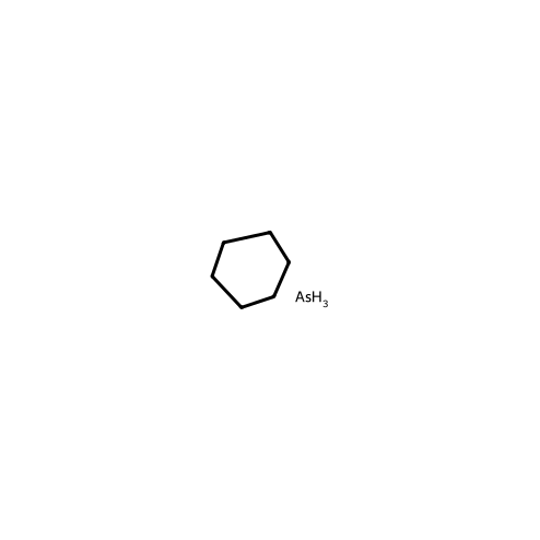 C1CCCCC1.[AsH3]